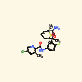 Cc1cc(Cl)cnc1C(=O)Nc1ccc(F)c([C@@]2(C)N=C(N)[C@]3(C)CCC[C@@]2(C)S3(=O)=O)c1